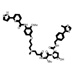 COc1cc(OCCCN(C)CCC(=O)N[C@H](C(=O)N2C[C@H](O)C[C@H]2C(=O)NCc2ccc(-c3scnc3C)cc2)C(C)(C)C)ccc1NC(=O)c1cccc(-c2ccn[nH]2)n1